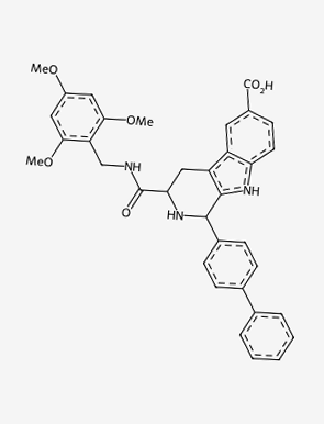 COc1cc(OC)c(CNC(=O)C2Cc3c([nH]c4ccc(C(=O)O)cc34)C(c3ccc(-c4ccccc4)cc3)N2)c(OC)c1